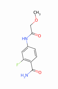 COCC(=O)Nc1ccc(C(N)=O)c(F)c1